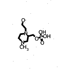 CN1CCN(CC[O])C(COP(=O)(O)O)C1